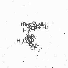 Cc1cc2nc3cc(C)c(OC(=NCCCCCCN(C(=O)OC(C)(C)C)c4cc5c(cc4C)nc4cc(C)c(N)cc4[n+]5-c4ccccc4)OC(C)(C)C)cc3[n+](-c3ccccc3)c2cc1N